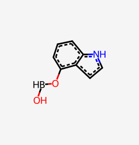 OBOc1cccc2[nH]ccc12